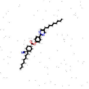 CCCCCCCCCc1cnc(-c2ccc(OC(=O)[C@H]3CC[C@@](C#N)(CCCCCCCC)CC3)cc2)nc1